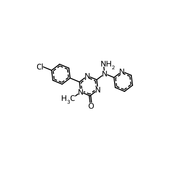 Cn1c(-c2ccc(Cl)cc2)nc(N(N)c2ccccn2)nc1=O